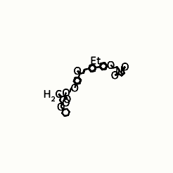 C=C(CC(=O)OC1CCCCC1)C(=O)OCCOc1ccc(C(=O)/C=C/c2ccc(-c3ccc(OCCN4C(=O)C=CC4=O)cc3CC)cc2)cc1